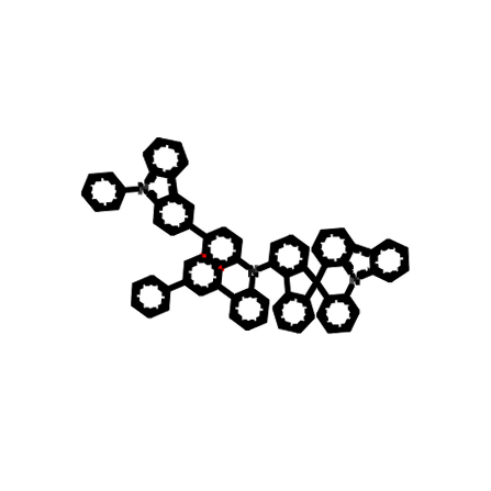 c1ccc(-c2cccc(-c3ccccc3N(c3ccc(-c4ccc5c(c4)c4ccccc4n5-c4ccccc4)cc3)c3cccc4c3-c3ccccc3C43c4ccccc4-n4c5ccccc5c5cccc3c54)c2)cc1